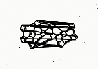 c12c3c4c5c6c7c8c9c%10c(c%11c1c1c%12c3c3c4c4c6c6c%13c7c7c9c9c%10c%10c%11c%11c1c1c%12c%12c3c3c4c6c4c6c%13c7c7c9c9c%10c%11c%10c1c1c%12c3c4c3c6c7c9c%10c13)C2C58